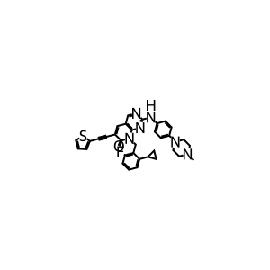 CN1CCN(c2ccc(Nc3ncc4cc(C#Cc5cccs5)c(=O)n(Cc5c(F)cccc5C5CC5)c4n3)cc2)CC1